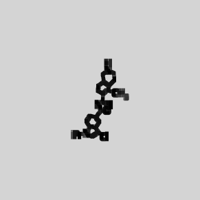 Cc1c(-c2noc(-c3ccc4c(c3)c(Cl)cn4C(C)C)n2)ccc2c1CCNC2